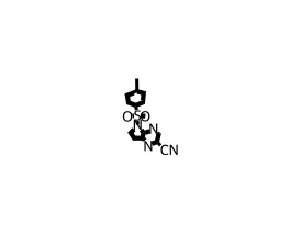 Cc1ccc(S(=O)(=O)n2ccc3nc(C#N)cnc32)cc1